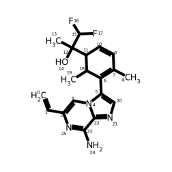 C=Cc1cn2c(C3=C(C)C=CC(C(C)(O)C(F)F)C3C)cnc2c(N)n1